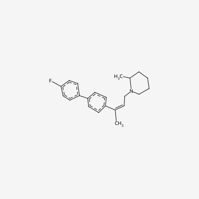 C/C(=C/CN1CCCCC1C)c1ccc(-c2ccc(F)cc2)cc1